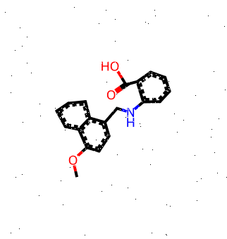 COc1ccc(CNc2ccccc2C(=O)O)c2ccccc12